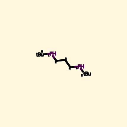 CC(C)(C)PCCCPC(C)(C)C